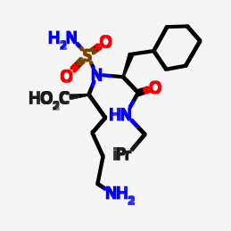 CC(C)CNC(=O)[C@H](CC1CCCCC1)N([C@@H](CCCCN)C(=O)O)S(N)(=O)=O